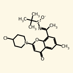 CC(=N[S@+]([O-])C(C)(C)C)c1cc(C)cc2c(=O)cc(N3CCC(Cl)CC3)oc12